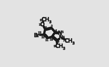 COc1cc2nn(C)c(C)c2cc1Br